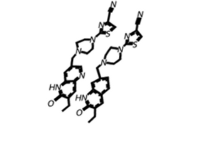 CCc1cc2ccc(CN3CCN(c4nc(C#N)cs4)CC3)cc2[nH]c1=O.CCc1cc2ncc(CN3CCN(c4nc(C#N)cs4)CC3)cc2[nH]c1=O